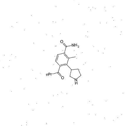 CCCC(=O)c1ccc(C(N)=O)c(C)c1C1CCNC1